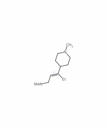 CC/C(=C\CNC)C1CCN(C)CC1